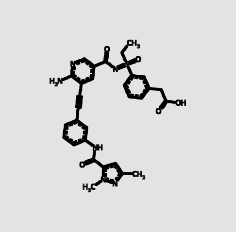 CCS(=O)(=NC(=O)c1cnc(N)c(C#Cc2cccc(NC(=O)c3cc(C)nn3C)c2)c1)c1cccc(CC(=O)O)c1